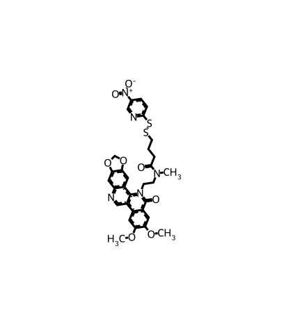 COc1cc2c(=O)n(CCN(C)C(=O)CCCSSc3ccc([N+](=O)[O-])cn3)c3c4cc5c(cc4ncc3c2cc1OC)OCO5